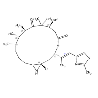 C/C(=C\c1csc(C)n1)[C@@H]1C[C@@H]2NC2CCC[C@H](C)[C@H](O)[C@@H](C)C(=O)C(C)(C)[C@@H](O)CC(=O)O1